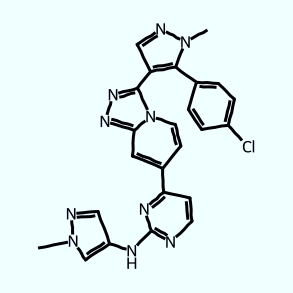 Cn1cc(Nc2nccc(-c3ccn4c(-c5cnn(C)c5-c5ccc(Cl)cc5)nnc4c3)n2)cn1